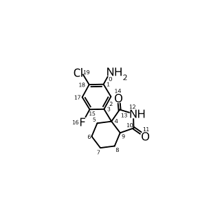 Nc1cc(C23CCCCC2C(=O)NC3=O)c(F)cc1Cl